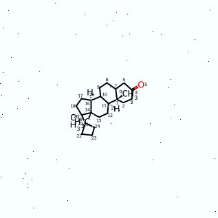 C[C@]12CCC(=O)CC1CCC1[C@@H]2CC[C@@]2(C)[C@H]1CC[C@]2(C)C1CCC1